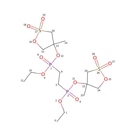 CCOP(=O)(CCP(=O)(OCC)OC1(C)COS(=O)(=O)C1)OC1(C)COS(=O)(=O)C1